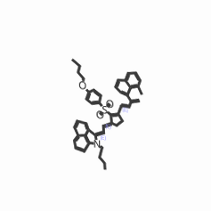 C=C(/C=C/C1=C(S(=O)(=O)c2ccc(OCCCC)cc2)C(=C/C=c2\c3cccc4cccc(c43)n2CCCC)/CC1)c1cccc2cccc(C)c12